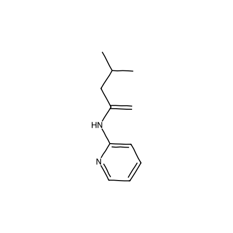 C=C(CC(C)C)Nc1ccccn1